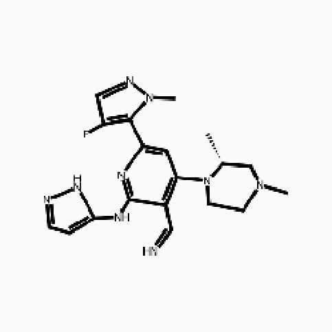 C[C@@H]1CN(C)CCN1c1cc(-c2c(F)cnn2C)nc(Nc2ccn[nH]2)c1C=N